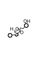 CN(CCc1cccc(O)c1)C(=O)c1ccc(-c2ccccc2)s1